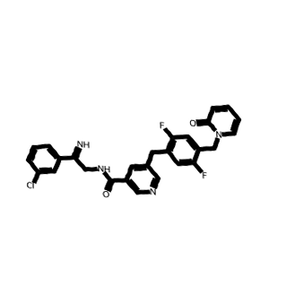 N=C(CNC(=O)c1cncc(Cc2cc(F)c(Cn3ccccc3=O)cc2F)c1)c1cccc(Cl)c1